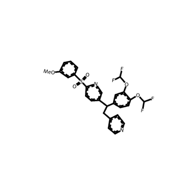 COc1cccc(S(=O)(=O)c2ccc(C(Cc3ccncc3)c3ccc(OC(F)F)c(OC(F)F)c3)cn2)c1